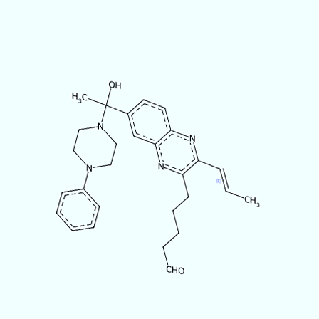 C/C=C/c1nc2ccc(C(C)(O)N3CCN(c4ccccc4)CC3)cc2nc1CCCCC=O